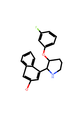 [O]c1cc(C2NCCCC2Oc2cccc(F)c2)c2ccccc2c1